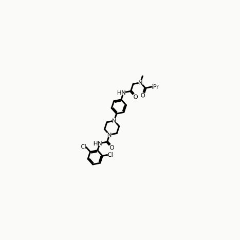 CC(C)C(=O)N(C)CC(=O)Nc1ccc(N2CCN(C(=O)Nc3c(Cl)cccc3Cl)CC2)cc1